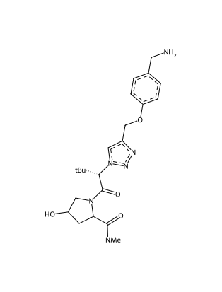 CNC(=O)C1CC(O)CN1C(=O)[C@@H](n1cc(COc2ccc(CN)cc2)nn1)C(C)(C)C